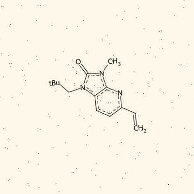 C=Cc1ccc2c(n1)n(C)c(=O)n2CC(C)(C)C